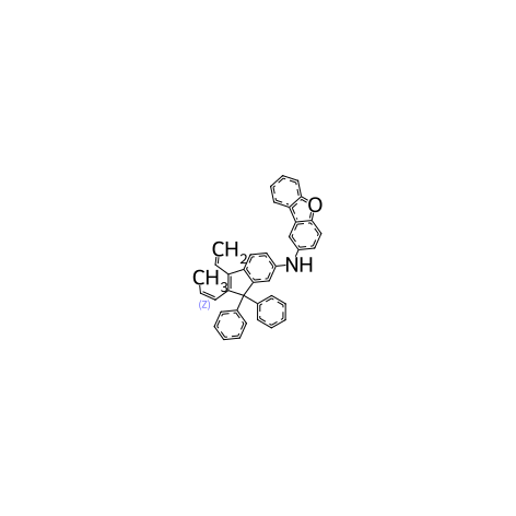 C=CC1=C(/C=C\C)C(c2ccccc2)(c2ccccc2)c2cc(Nc3ccc4oc5ccccc5c4c3)ccc21